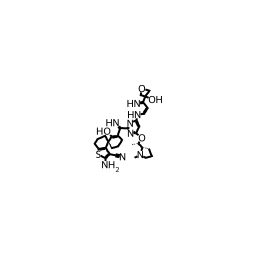 C[C@H](Oc1cc(N/C=C\C(=N)C2(O)COC2)nc(C(=N)C2=C(O)[C@@]3(CCC2)CCCc2sc(N)c(C#N)c23)n1)[C@@H]1CCCN1C